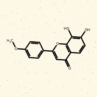 COc1ccc(-c2cc(=O)c3ccc(O)c(O)c3o2)cc1